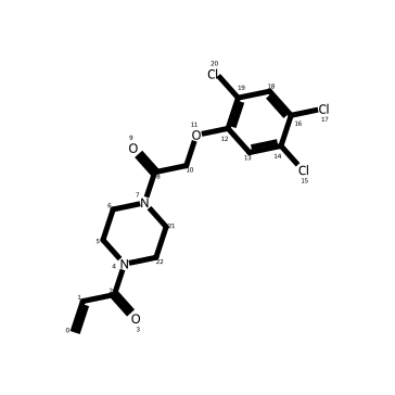 C=CC(=O)N1CCN(C(=O)COc2cc(Cl)c(Cl)cc2Cl)CC1